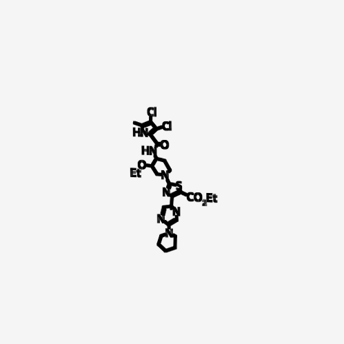 CCOC(=O)c1sc(N2CCC(NC(=O)c3[nH]c(C)c(Cl)c3Cl)C(OCC)C2)nc1-c1cnc(N2CCCCC2)cn1